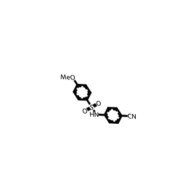 COc1ccc(S(=O)(=O)Nc2ccc(C#N)cc2)cc1